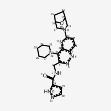 O=C(NCc1nnc2ccc(N3CC4CCC(C3)O4)nc2c1N1CCCCC1)c1ccn[nH]1